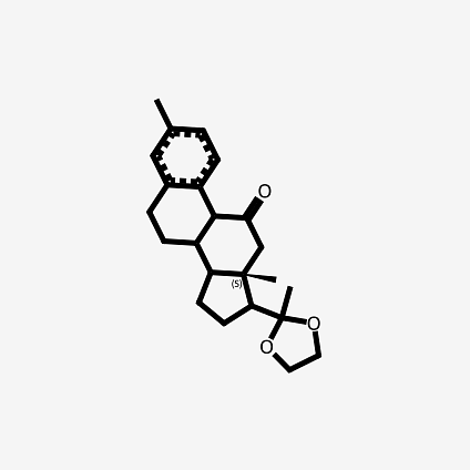 Cc1ccc2c(c1)CCC1C2C(=O)C[C@@]2(C)C1CCC2C1(C)OCCO1